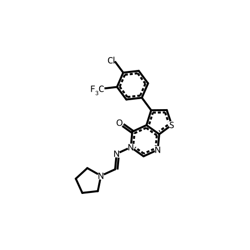 O=c1c2c(-c3ccc(Cl)c(C(F)(F)F)c3)csc2ncn1/N=C/N1CCCC1